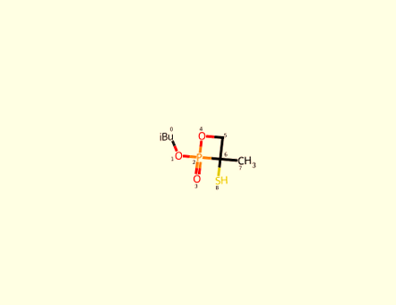 CCC(C)OP1(=O)OCC1(C)S